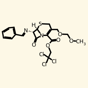 COCOCC1=C(C(=O)OCC(Cl)(Cl)Cl)N2C(=O)[C@H](/N=C/c3ccccc3)[C@H]2SC1